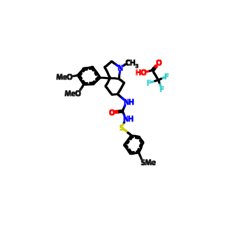 COc1ccc(C23CCC(NC(=O)NSc4ccc(SC)cc4)CC2N(C)CC3)cc1OC.O=C(O)C(F)(F)F